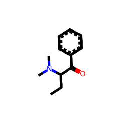 CCC(C(=O)c1ccccc1)N(C)C